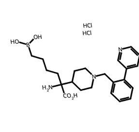 Cl.Cl.NC(CCCCB(O)O)(C(=O)O)C1CCN(Cc2ccccc2-c2cccnc2)CC1